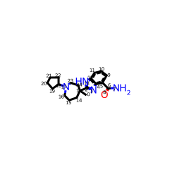 CC1(c2nc3c(C(N)=O)cccc3[nH]2)CCCN(C2CCCC2)CC1